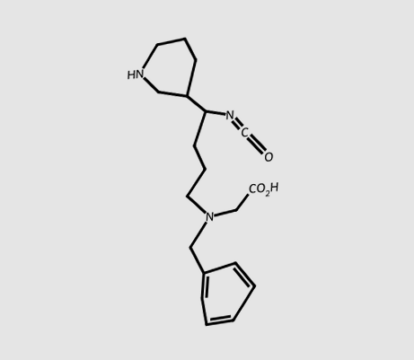 O=C=NC(CCCN(CC(=O)O)Cc1ccccc1)C1CCCNC1